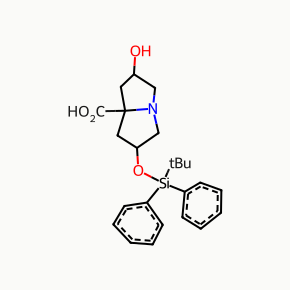 CC(C)(C)[Si](OC1CN2CC(O)CC2(C(=O)O)C1)(c1ccccc1)c1ccccc1